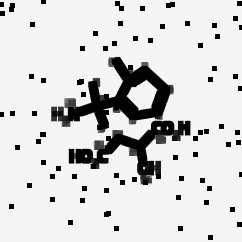 Cc1ccccc1C(C)(C)N.O=C(O)CC(O)C(=O)O